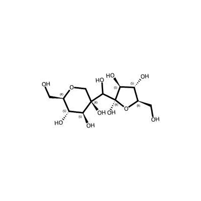 OC[C@H]1O[C@@](O)(C(O)[C@@]2(O)CO[C@H](CO)[C@@H](O)[C@@H]2O)[C@@H](O)[C@@H]1O